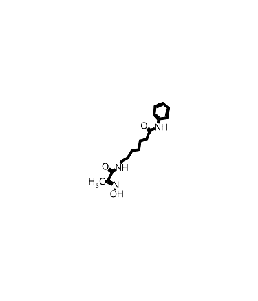 CC(=NO)C(=O)NCCCCCCC(=O)Nc1ccccc1